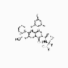 O=C(NC(F)(C(F)F)C1CC1)c1cn(-c2c(F)cc(F)cc2F)c2nc(N3CCCC[C@H]3CO)c(F)cc2c1=O